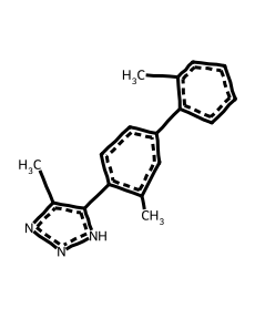 Cc1ccccc1-c1ccc(-c2[nH]nnc2C)c(C)c1